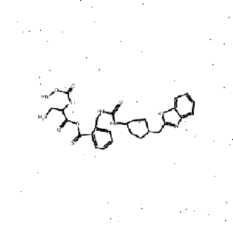 CCCCOC(=O)NC(CN)C(=O)OC(=O)c1ccccc1CNC(=O)NC1CCC(Cc2nc3ccccc3[nH]2)CC1